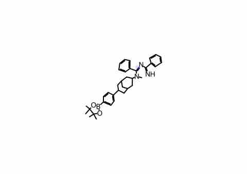 CN(/C(=N\C(=N)c1ccccc1)c1ccccc1)C1CC2CC(CC(c3ccc(B4OC(C)(C)C(C)(C)O4)cc3)C2)C1